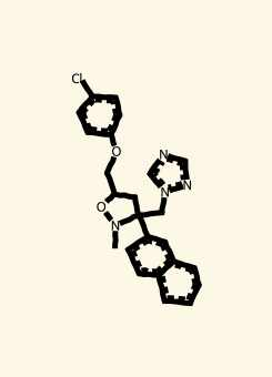 CN1OC(COc2ccc(Cl)cc2)CC1(Cn1cncn1)c1ccc2ccccc2c1